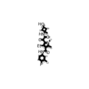 CCc1c(C(=O)Nc2ccc(F)c(C)c2)c(C)n(C)c1C(=O)C(=O)NC1(C)CC(O)C1